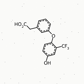 O=C(O)Cc1cccc(Oc2ccc(O)cc2C(F)(F)F)c1